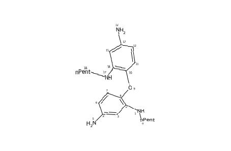 CCCCCNc1cc(N)ccc1Oc1ccc(N)cc1NCCCCC